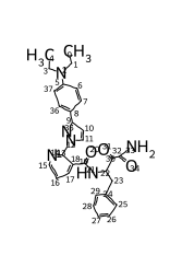 CCN(CC)c1ccc(-c2ccn(-c3ncccc3C(=O)NC(Cc3ccccc3)C(=O)C(N)=O)n2)cc1